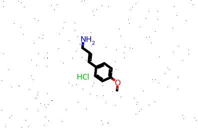 COc1ccc(C=CCN)cc1.Cl